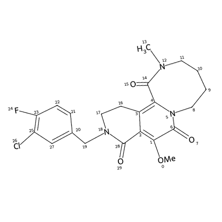 COc1c2c(c3n(c1=O)CCCCN(C)C3=O)CCN(Cc1ccc(F)c(Cl)c1)C2=O